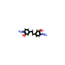 Nc1ccc(CCc2ccc(N)c(O)c2)cc1O